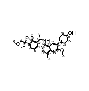 COCC(F)(F)c1cccc([C@@H](C)Nc2nnc(C)c3nc(OC)c(N4CCC(O)CC4)cc23)c1F